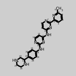 Cc1cccc(-c2nccc(Nc3ccnc(Nc4ccc(C5CNCCN5)cc4)n3)n2)n1